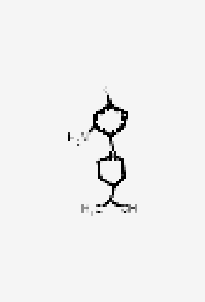 CC(O)C1CCN(c2ccc(Cl)cc2N)CC1